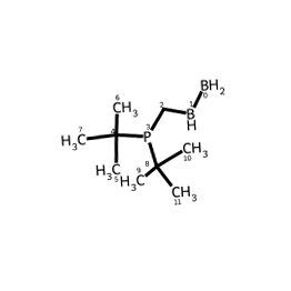 BBCP(C(C)(C)C)C(C)(C)C